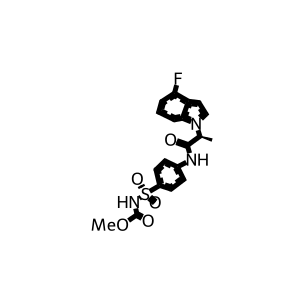 COC(=O)NS(=O)(=O)c1ccc(NC(=O)[C@H](C)n2ccc3c(F)cccc32)cc1